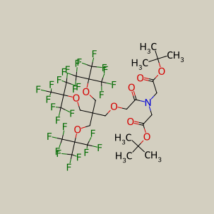 CC(C)(C)OC(=O)CN(CC(=O)OC(C)(C)C)C(=O)COCC(COC(C(F)(F)F)(C(F)(F)F)C(F)(F)F)(COC(C(F)(F)F)(C(F)(F)F)C(F)(F)F)COC(C(F)(F)F)(C(F)(F)F)C(F)(F)F